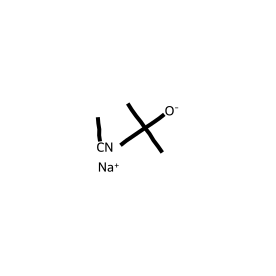 CC#N.CC(C)(C)[O-].[Na+]